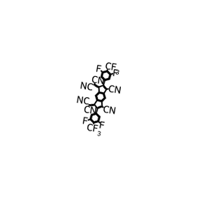 N#CC(C#N)=C1C(c2cc(F)c(C(F)(F)F)c(F)c2)=C(C#N)c2cc3c(cc21)C(=C(C#N)C#N)C(c1cc(F)c(C(F)(F)F)c(F)c1)=C3C#N